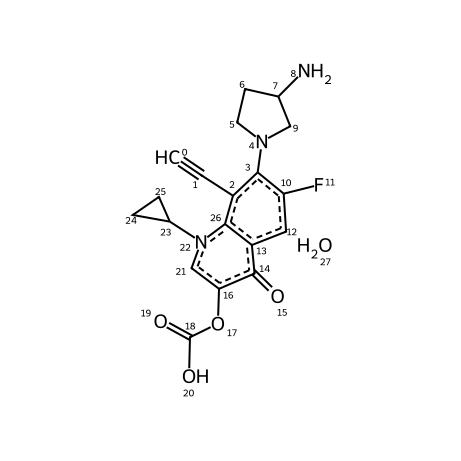 C#Cc1c(N2CCC(N)C2)c(F)cc2c(=O)c(OC(=O)O)cn(C3CC3)c12.O